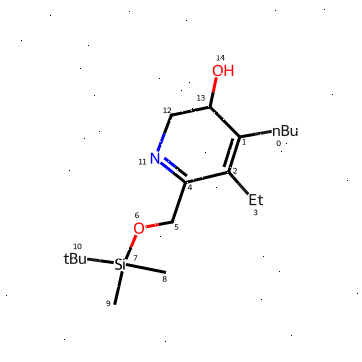 CCCCC1=C(CC)C(CO[Si](C)(C)C(C)(C)C)=NCC1O